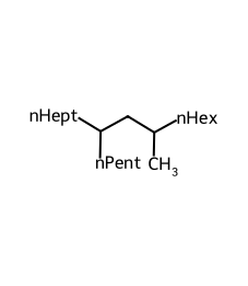 CCCCCCCC(CCCCC)CC(C)CCCCCC